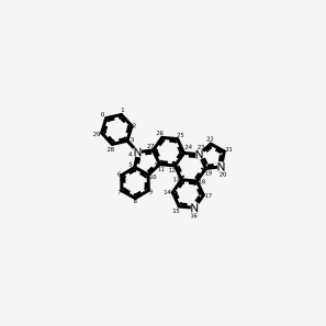 c1ccc(-n2c3ccccc3c3c4c5ccncc5c5nccn5c4ccc32)cc1